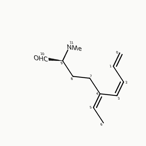 C=C/C=C\C(=C/C)CC[C@@H](C=O)NC